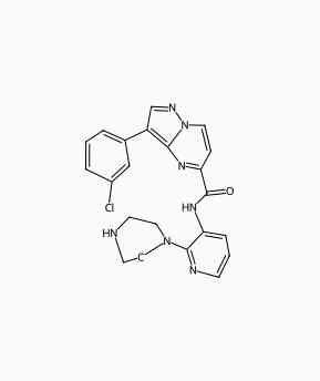 O=C(Nc1cccnc1N1CCNCC1)c1ccn2ncc(-c3cccc(Cl)c3)c2n1